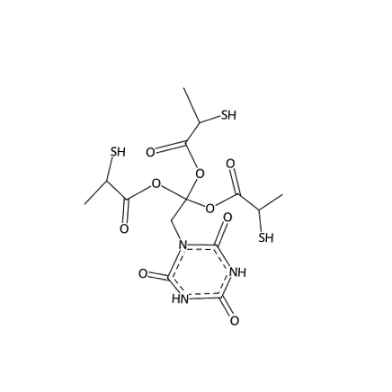 CC(S)C(=O)OC(Cn1c(=O)[nH]c(=O)[nH]c1=O)(OC(=O)C(C)S)OC(=O)C(C)S